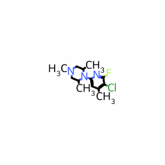 Cc1cc(N2C(C)CN(C)CC2C)nc(F)c1Cl